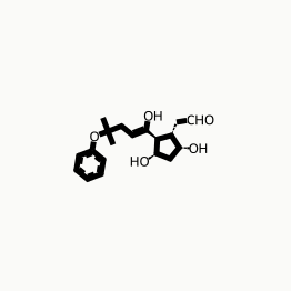 CC(C)(CC=C(O)[C@H]1[C@H](CC=O)[C@H](O)C[C@@H]1O)Oc1ccccc1